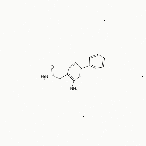 NC(=O)Cc1ccc(-c2ccccc2)cc1N